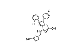 N#Cc1ccc(CNC(=O)c2nn(-c3ccccc3Cl)c(-c3ccc(Cl)cc3)c2CC(=O)O)s1